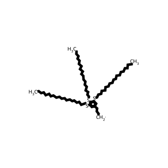 [CH2]CCCc1cc(SCCCCCCCCCCCCCCCCCCCC)c(SCCCCCCCCCCCCCCCCCCCC)c(SCCCCCCCCCCCCCCCCCCCC)c1